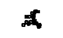 CC(C)(C)OC(=O)N1CCN(c2nc(OCC34CCCN3CCC4)nc3c2CC[C@@]2(CCc4c(Cl)cccc42)C3)C[C@@H]1CC#N